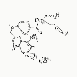 CN(Cc1cnc2nc(N)nc(N)c2n1)c1ccc(C(=O)N[C@@H](CCC(=O)O)C(=O)O)cc1.O.O